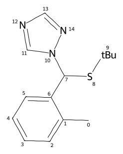 Cc1ccccc1C(SC(C)(C)C)n1cncn1